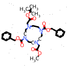 COC(=O)CN1CCN(C(=O)OCc2ccccc2)CCN(CC(=O)OC(C)(C)C)CCN(C(=O)OCc2ccccc2)CC1